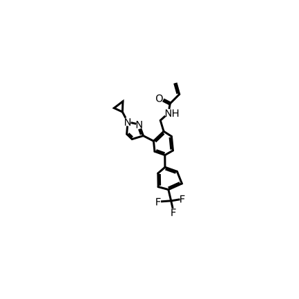 C=CC(=O)NCc1ccc(-c2ccc(C(F)(F)F)cc2)cc1-c1ccn(C2CC2)n1